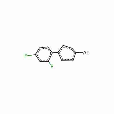 CC(=O)c1ccc(-c2ccc(F)cc2F)cc1